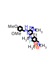 CCc1cc(CN(C)S(C)(=O)=O)cc(F)c1N(C)c1cc2c(ncn2C)c(NCc2ccc(OC)cc2OC)n1